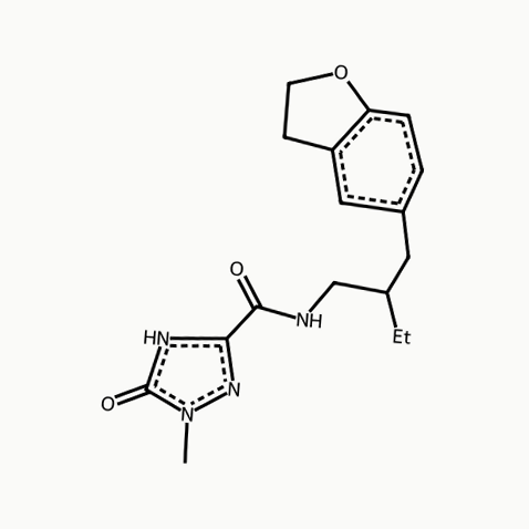 CCC(CNC(=O)c1nn(C)c(=O)[nH]1)Cc1ccc2c(c1)CCO2